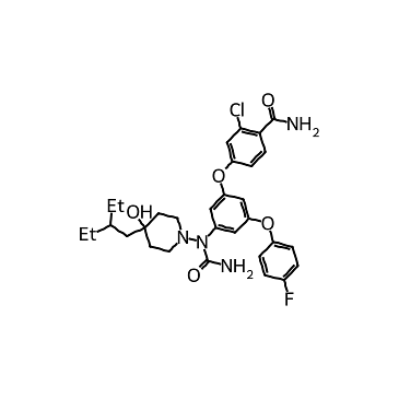 CCC(CC)CC1(O)CCN(N(C(N)=O)c2cc(Oc3ccc(F)cc3)cc(Oc3ccc(C(N)=O)c(Cl)c3)c2)CC1